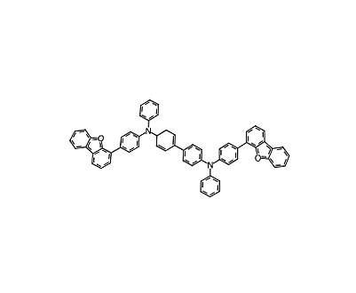 C1=CC(N(c2ccccc2)c2ccc(-c3cccc4c3oc3ccccc34)cc2)CC=C1c1ccc(N(c2ccccc2)c2ccc(-c3cccc4c3oc3ccccc34)cc2)cc1